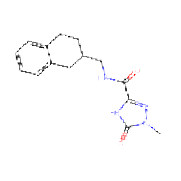 Cn1nc(C(=O)NCC2CCc3ccccc3C2)[nH]c1=O